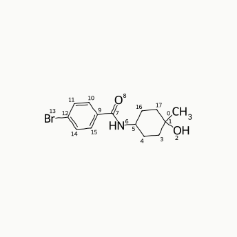 CC1(O)CCC(NC(=O)c2ccc(Br)cc2)CC1